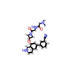 CN(C)CC(=O)NCC(=O)N1CC(Oc2cc(-c3cccc(C#N)c3)cc3c2CNC=C3)C1